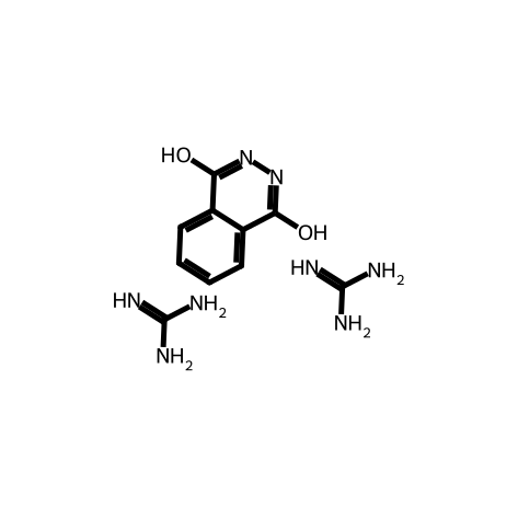 N=C(N)N.N=C(N)N.Oc1nnc(O)c2ccccc12